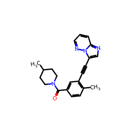 Cc1ccc(C(=O)N2CCC(C)CC2)cc1C#Cc1cnc2cccnn12